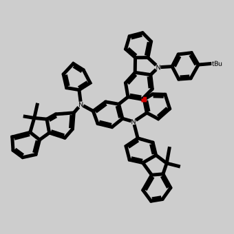 CC(C)(C)c1ccc(-n2c3ccccc3c3cc(-c4cc(N(c5ccccc5)c5ccc6c(c5)C(C)(C)c5ccccc5-6)ccc4N(c4ccccc4)c4ccc5c(c4)C(C)(C)c4ccccc4-5)ccc32)cc1